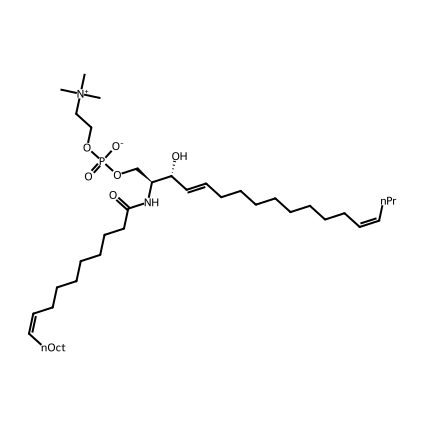 CCC/C=C\CCCCCCCC/C=C/[C@@H](O)[C@H](COP(=O)([O-])OCC[N+](C)(C)C)NC(=O)CCCCCCC/C=C\CCCCCCCC